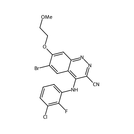 COCCOc1cc2nnc(C#N)c(Nc3cccc(Cl)c3F)c2cc1Br